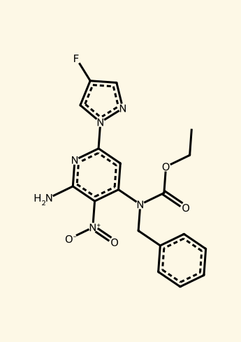 CCOC(=O)N(Cc1ccccc1)c1cc(-n2cc(F)cn2)nc(N)c1[N+](=O)[O-]